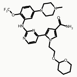 CN1CCN(c2ccc(OC(F)(F)F)c(Nc3nccc(-c4cc(C(N)=O)cn4CCOC4CCCCO4)n3)c2)CC1